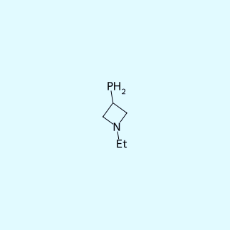 CCN1CC(P)C1